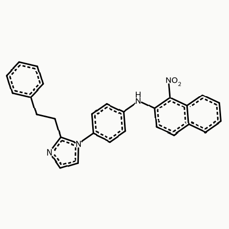 O=[N+]([O-])c1c(Nc2ccc(-n3ccnc3CCc3ccccc3)cc2)ccc2ccccc12